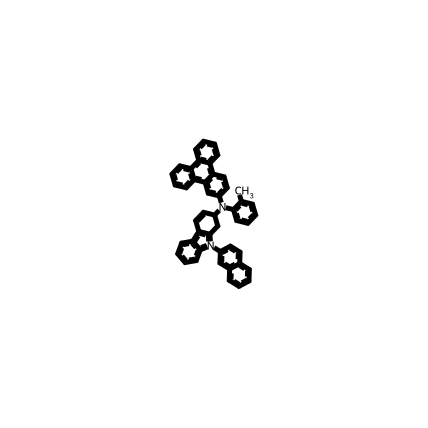 Cc1ccccc1N(c1ccc2c3ccccc3c3ccccc3c2c1)C1C=Cc2c(n(-c3ccc4ccccc4c3)c3ccccc23)C1